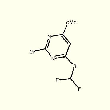 COc1cc(OC(F)F)nc(Cl)n1